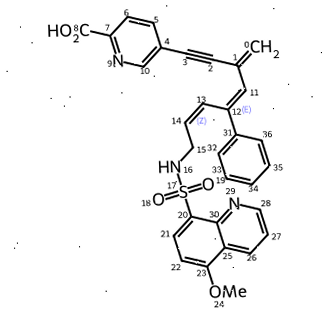 C=C(C#Cc1ccc(C(=O)O)nc1)/C=C(\C=C/CNS(=O)(=O)c1ccc(OC)c2cccnc12)c1ccccc1